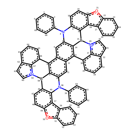 c1ccc(N2c3cc4c5c6c(cc4c4c3B(c3c2ccc2oc7ccccc7c32)n2ccc3cccc-4c32)N(c2ccccc2)c2c(ccc3oc4ccccc4c23)B6n2ccc3cccc-5c32)cc1